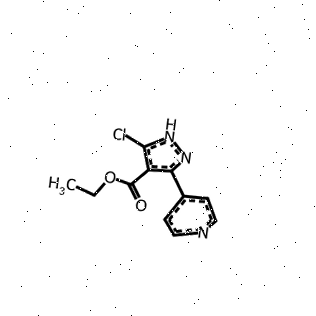 CCOC(=O)c1c(-c2ccncc2)n[nH]c1Cl